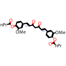 CCCC(=O)Oc1ccc(/C=C/C(=O)CC(=O)/C=C/c2ccc(OC(=O)CCC)c(OC)c2)cc1OC